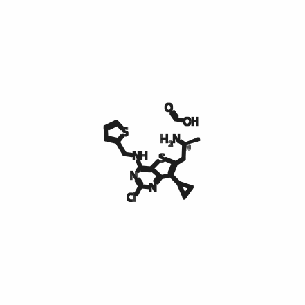 C[C@H](N)Cc1sc2c(NCc3cccs3)nc(Cl)nc2c1C1CC1.O=CO